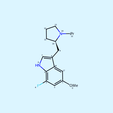 COc1cc(F)c2[nH]cc(C[C@H]3CCCN3C(C)C)c2c1